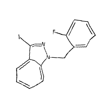 Fc1ccccc1Cn1nc(I)c2ccccc21